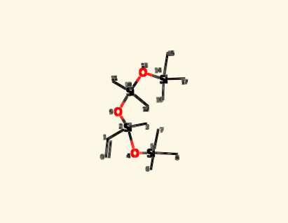 C=C[Si](C)(O[Si](C)(C)C)O[Si](C)(C)O[Si](C)(C)C